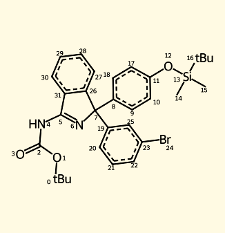 CC(C)(C)OC(=O)NC1=NC(c2ccc(O[Si](C)(C)C(C)(C)C)cc2)(c2cccc(Br)c2)c2ccccc21